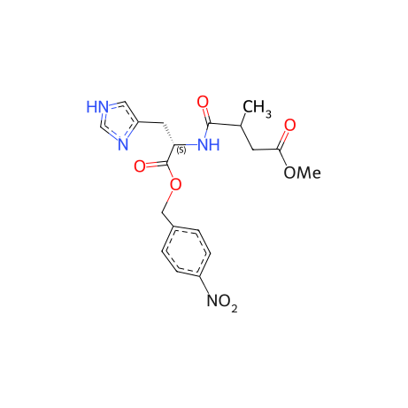 COC(=O)CC(C)C(=O)N[C@@H](Cc1c[nH]cn1)C(=O)OCc1ccc([N+](=O)[O-])cc1